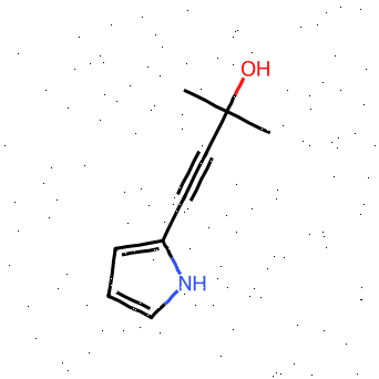 CC(C)(O)C#Cc1ccc[nH]1